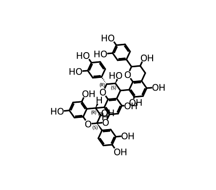 Oc1cc(O)c2c(c1)O[C@@]1(c3ccc(O)c(O)c3)Oc3cc(O)c4c(c3[C@@H]2[C@H]1O)O[C@H](c1ccc(O)c(O)c1)[C@@H](O)C4c1c(O)cc(O)c2c1OC(c1ccc(O)c(O)c1)C(O)C2